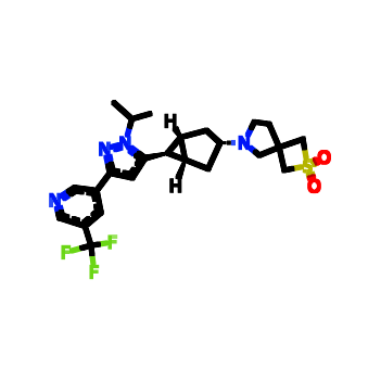 CC(C)n1nc(-c2cncc(C(F)(F)F)c2)cc1[C@H]1[C@@H]2C[C@H](N3CCC4(C3)CS(=O)(=O)C4)C[C@@H]21